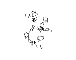 CCN1Cc2cnc(cn2)C(N(CC)[C@@H]2CCN(c3ncccc3COC(=O)CC(C)(C)C)C2)C(C)(C)CC(=O)OCc2cccnc2N2CC[C@@H]1C2